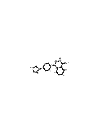 O=c1[nH]nc(-c2ccc(-n3ccnc3)cc2)c2cccnc12